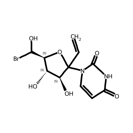 C=CC1(n2ccc(=O)[nH]c2=O)O[C@H](C(O)Br)[C@@H](O)[C@@H]1O